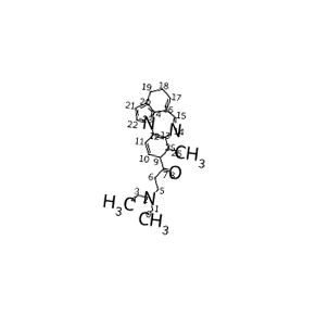 CCN(CC)CCC(=O)C1C=CC2=C(N=CC3=CCCc4ccn2c43)C1C